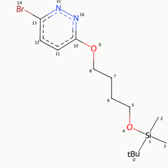 CC(C)(C)[Si](C)(C)OCCCCOc1ccc(Br)nn1